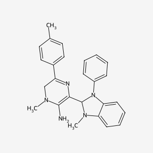 Cc1ccc(C2=NC(C3N(C)c4ccccc4N3c3ccccc3)=C(N)N(C)C2)cc1